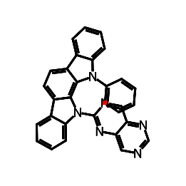 c1ccc(-n2c3ccccc3c3ccc4c5ccccc5n(-c5ncc6ncncc6n5)c4c32)cc1